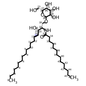 CCCCCCCCCCCCC/C=C/[C@H](O)[C@H](CO[C@H]1O[C@H](CO)[C@H](O)[C@H](O)[C@H]1O)NC(=O)CCCCCCCCCCCCC